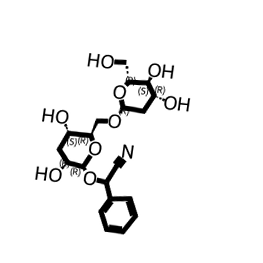 N#CC(O[C@@H]1O[C@H](CO[C@H]2C[C@@H](O)[C@H](O)[C@@H](CO)O2)[C@@H](O)C[C@H]1O)c1ccccc1